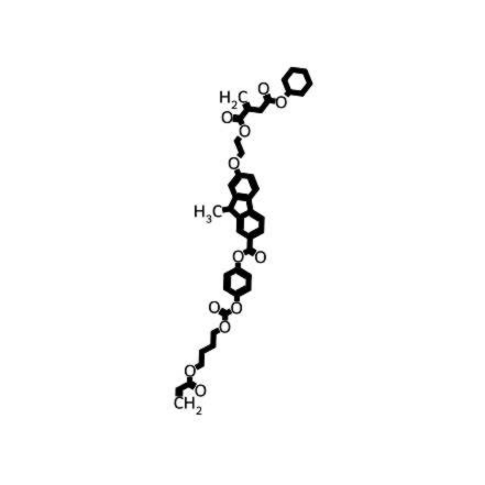 C=CC(=O)OCCCCOC(=O)Oc1ccc(OC(=O)c2ccc3c(c2)C(C)c2cc(OCCOC(=O)C(=C)CC(=O)OC4CCCCC4)ccc2-3)cc1